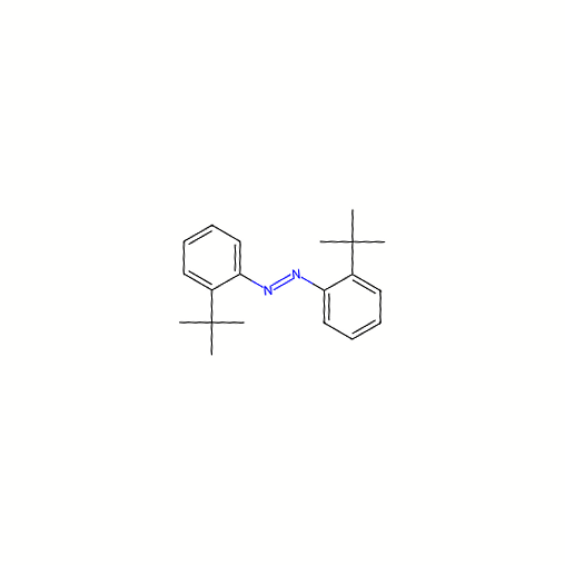 CC(C)(C)c1ccccc1N=Nc1ccccc1C(C)(C)C